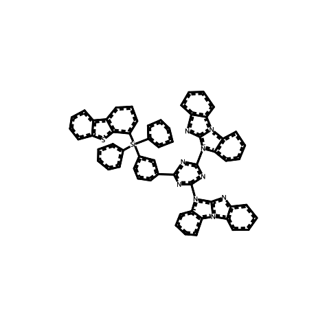 c1ccc([Si](c2ccccc2)(c2cccc(-c3nc(-n4c5ccccc5n5c6ccccc6nc45)nc(-n4c5ccccc5n5c6ccccc6nc45)n3)c2)c2cccc3c2sc2ccccc23)cc1